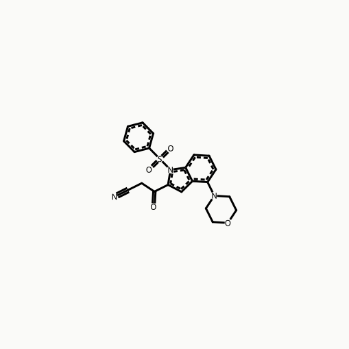 N#CCC(=O)c1cc2c(N3CCOCC3)cccc2n1S(=O)(=O)c1ccccc1